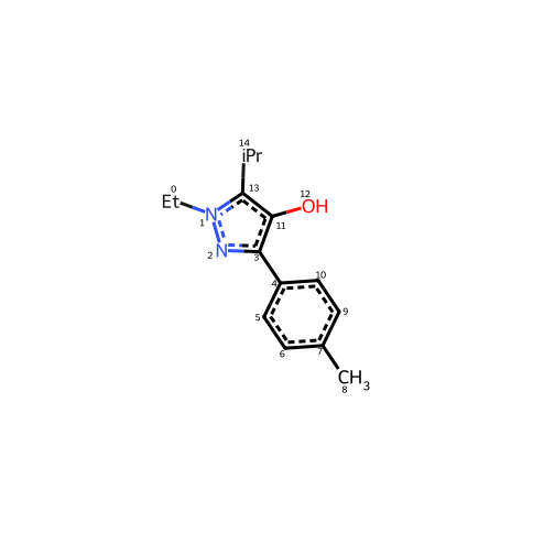 CCn1nc(-c2ccc(C)cc2)c(O)c1C(C)C